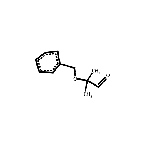 CC(C)(C=O)OCc1ccccc1